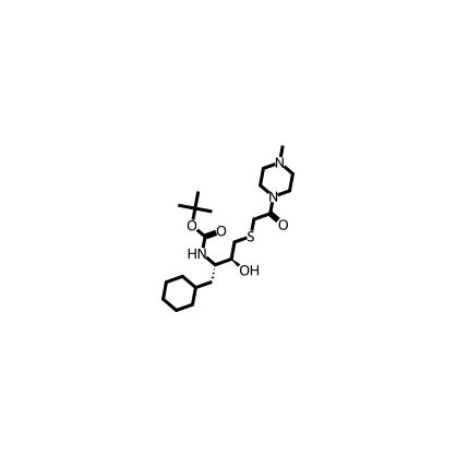 CN1CCN(C(=O)CSC[C@@H](O)[C@H](CC2CCCCC2)NC(=O)OC(C)(C)C)CC1